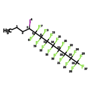 CCCC(I)C(F)(F)C(F)(F)C(F)(F)C(F)(F)C(F)(F)C(F)(F)C(F)(F)C(F)(F)F